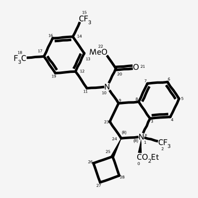 CCOC(=O)[N@+]1(C(F)(F)F)c2ccccc2C(N(Cc2cc(C(F)(F)F)cc(C(F)(F)F)c2)C(=O)OC)C[C@@H]1C1CCC1